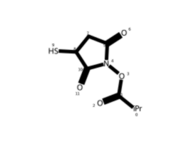 CC(C)C(=O)ON1C(=O)CC(S)C1=O